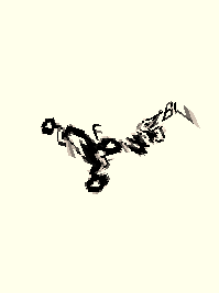 CC(C)(C)OC(=O)N1CC2(CCN(c3cc(F)c(-c4ccc(OCc5ccccc5)nc4OCc4ccccc4)c(F)c3)C2)C1